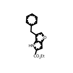 CCOC(=O)c1cc2occ(Cc3ccccc3)c2[nH]1